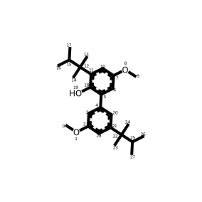 COc1cc(-c2cc(OC)cc(C(C)(C)C(C)C)c2O)cc(C(C)(C)C(C)C)c1